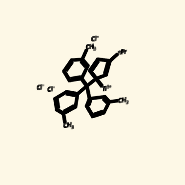 CCCC1=C[C]([Ti+3])(C(c2cccc(C)c2)(c2cccc(C)c2)c2cccc(C)c2)C=C1.[Cl-].[Cl-].[Cl-]